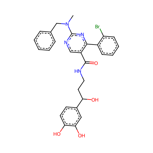 CN(Cc1ccccc1)c1ncc(C(=O)NCCC(O)c2ccc(O)c(O)c2)c(-c2ccccc2Br)n1